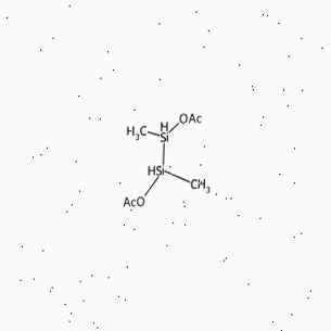 CC(=O)O[SiH](C)[SiH](C)OC(C)=O